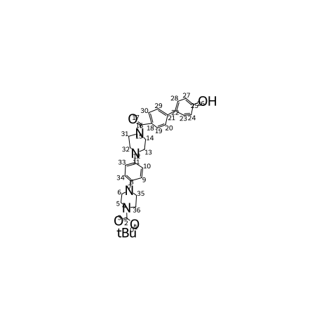 CC(C)(C)OC(=O)N1CCN(c2ccc(N3CCN(C(=O)c4ccc(-c5ccc(O)cc5)cc4)CC3)cc2)CC1